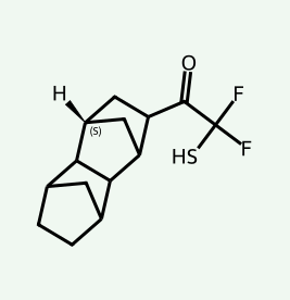 O=C(C1C[C@@H]2CC1C1C3CCC(C3)C12)C(F)(F)S